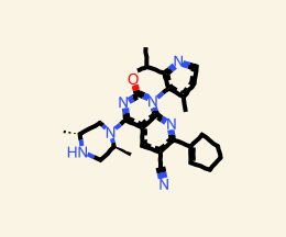 Cc1ccnc(C(C)C)c1-n1c(=O)nc(N2C[C@@H](C)NC[C@@H]2C)c2cc(C#N)c(C3=CCCCC3)nc21